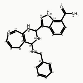 NC(=O)c1cccc2c(C3NC4=C(CC=CN=C4)C(NCc4ccccc4)N3)n[nH]c12